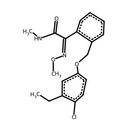 CCc1cc(OCc2ccccc2/C(=N/OC)C(=O)NC)ccc1Cl